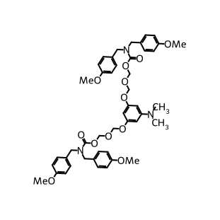 COc1ccc(CN(Cc2ccc(OC)cc2)C(=O)OCOCOc2cc(OCOCOC(=O)N(Cc3ccc(OC)cc3)Cc3ccc(OC)cc3)cc(N(C)C)c2)cc1